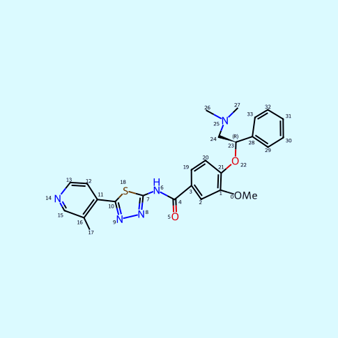 COc1cc(C(=O)Nc2nnc(-c3ccncc3C)s2)ccc1O[C@@H](CN(C)C)c1ccccc1